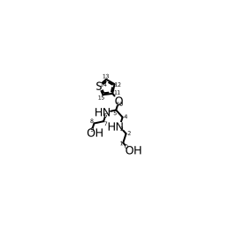 OCCNCC(NCCO)Oc1ccsc1